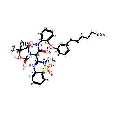 CCCCCCCCCCCCCCCc1cccc(Oc2ccccc2NC(=O)C(C2=Nc3ccccc3S(=O)(=O)N2C)N2C(=O)OC(C)(C)C2=O)c1